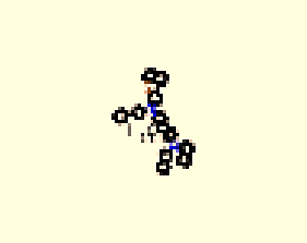 CC1(C)c2cc(N(c3ccc(-c4ccccc4)cc3)c3ccc4c(c3)Sc3cccc5cccc-4c35)ccc2-c2ccc(N(c3ccc4ccccc4c3)c3cccc4ccccc34)cc21